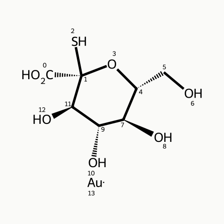 O=C(O)[C@]1(S)O[C@H](CO)[C@@H](O)[C@H](O)[C@H]1O.[Au]